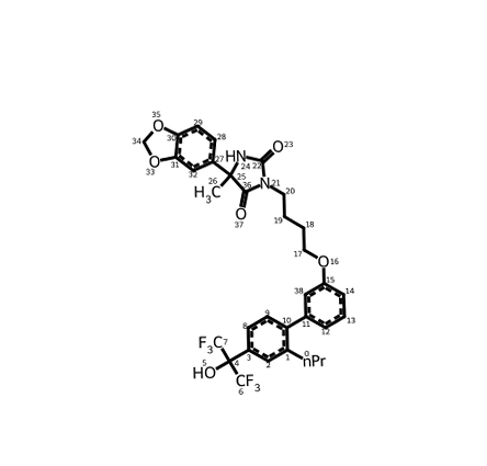 CCCc1cc(C(O)(C(F)(F)F)C(F)(F)F)ccc1-c1cccc(OCCCCN2C(=O)NC(C)(c3ccc4c(c3)OCO4)C2=O)c1